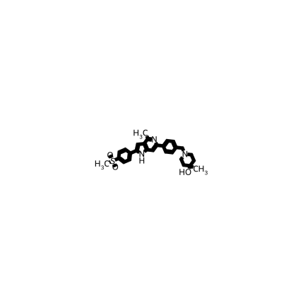 Cc1nc(-c2ccc(CN3CCC(C)(O)CC3)cc2)cc2[nH]c(-c3ccc(S(C)(=O)=O)cc3)cc12